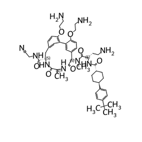 C[C@@H]1NC(=O)[C@@H](N(C)C(=O)[C@H](CCN)NC(=O)[C@H]2CC[C@H](c3ccc(C(C)(C)C)cc3)CC2)c2ccc(OCCN)c(c2)-c2cc(ccc2OCCN)C[C@@H](C(=O)NCC#N)NC1=O